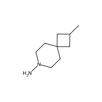 CC1CC2(CCN(N)CC2)C1